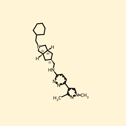 Cc1nn(C)cc1-c1ccc(NC[C@H]2C[C@@H]3CN(CC4CCCCC4)C[C@@H]3C2)nn1